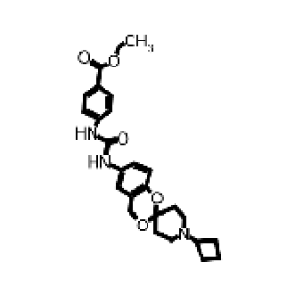 CCOC(=O)c1ccc(NC(=O)Nc2ccc3c(c2)COC2(CCN(C4CCC4)CC2)O3)cc1